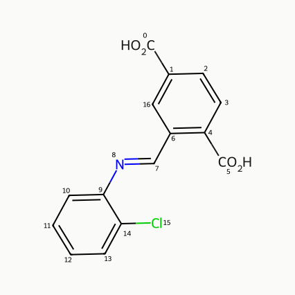 O=C(O)c1ccc(C(=O)O)c(C=Nc2ccccc2Cl)c1